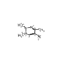 CC(=O)C1=CN(C)C(C)N=C1C